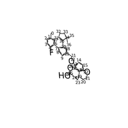 Cc1ccc(F)c(-c2ccc(COc3ccc4c(c3)[C@]3(CCO4)C[C@H]3C(=O)O)cc2C2=CCCC2(C)C)c1